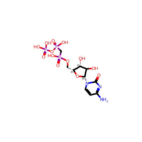 Nc1ccn([C@@H]2O[C@H](COP(=O)(O)CP(=O)(O)OP(=O)(O)O)[C@H](O)C2O)c(=O)n1